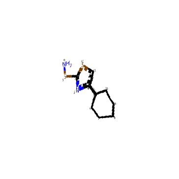 NSc1nc(C2CCCCC2)cs1